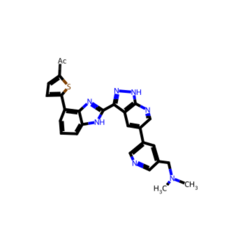 CC(=O)c1ccc(-c2cccc3[nH]c(-c4n[nH]c5ncc(-c6cncc(CN(C)C)c6)cc45)nc23)s1